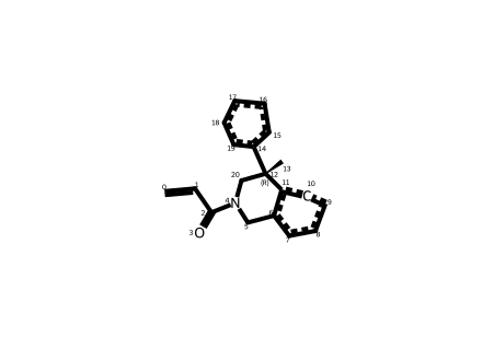 C=CC(=O)N1Cc2ccccc2[C@@](C)(c2ccccc2)C1